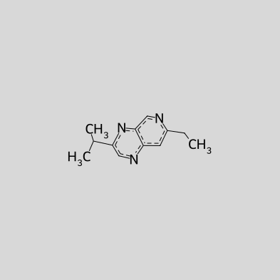 CCc1cc2ncc(C(C)C)nc2cn1